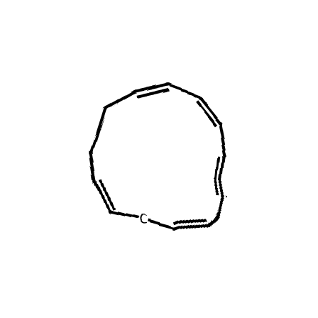 [C]1=CC=CC=CCCC=CCC=C1